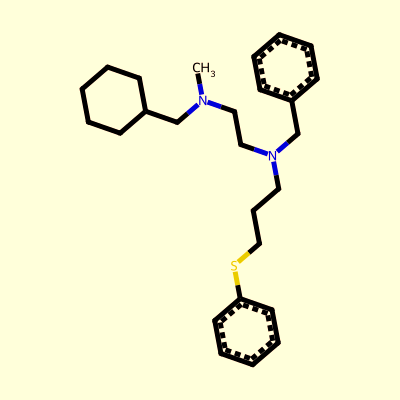 CN(CCN(CCCSc1ccccc1)Cc1ccccc1)CC1CCCCC1